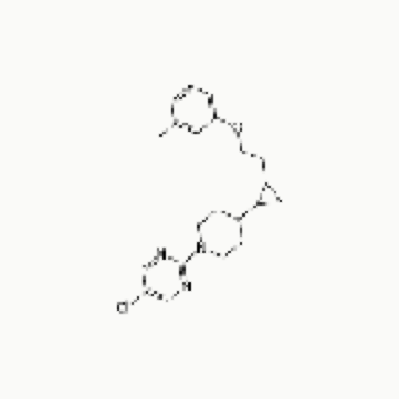 Cc1cccc(OCCC2CC2C2CCN(c3ncc(Cl)cn3)CC2)c1